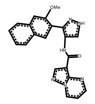 COc1cc2ccccc2cc1-c1n[nH]cc1NC(=O)c1cnn2cccnc12